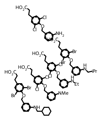 CC(C)CNc1cccc(COc2c(Br)cc(CCC(=O)O)cc2Br)c1.CCNc1cccc(COc2c(Cl)cc(CCC(=O)O)cc2Cl)c1.CNc1cccc(COc2c(Cl)cc(CCC(=O)O)cc2Cl)c1.Nc1cccc(COc2c(Cl)cc(CCC(=O)O)cc2Cl)c1.O=C(O)CCc1cc(Br)c(OCc2cccc(NCC3CCCCC3)c2)c(Br)c1